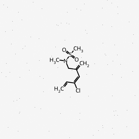 C=C/C(Cl)=C\C(=C)CN(C)S(C)(=O)=O